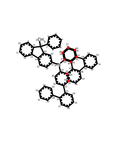 CC1(c2ccccc2)c2ccccc2-c2ccc(N(c3ccc(-c4ccccc4-c4ccccc4)cc3)c3ccccc3-c3ccccc3-c3ccccc3-c3ccccc3)cc21